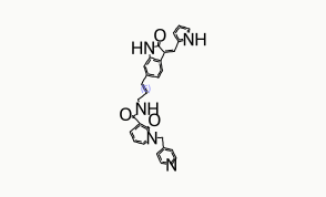 O=C1Nc2cc(/C=C/CNC(=O)c3cccn(Cc4ccncc4)c3=O)ccc2C1=Cc1ccc[nH]1